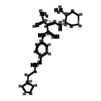 N=C(Nc1ccc(SNCCN2CCCC2)cc1)/C(=C\N[C@H]1CCCCC1N)C(N)=O